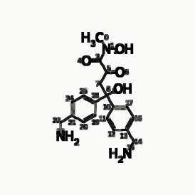 CN(O)C(=O)C(=O)CC(O)(c1ccc(CN)cc1)c1ccc(CN)cc1